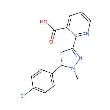 Cn1nc(-c2ncccc2C(=O)O)cc1-c1ccc(Cl)cc1